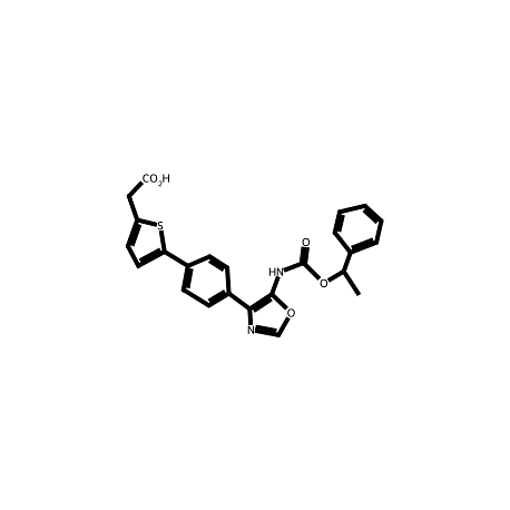 CC(OC(=O)Nc1ocnc1-c1ccc(-c2ccc(CC(=O)O)s2)cc1)c1ccccc1